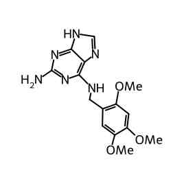 COc1cc(OC)c(OC)cc1CNc1nc(N)nc2[nH]cnc12